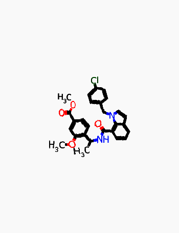 COC(=O)c1ccc(C(C)NC(=O)c2cccc3ccn(Cc4ccc(Cl)cc4)c23)c(OC)c1